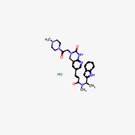 CC(c1cc2ccccc2[nH]1)N(C)C(=O)C=Cc1cnc2c(c1)CN(CC(=O)N1CCN(C)CC1)C(=O)N2.Cl